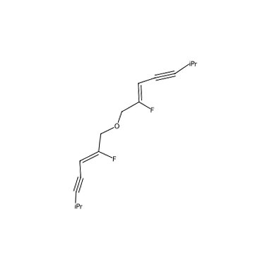 CC(C)C#CC=C(F)COCC(F)=CC#CC(C)C